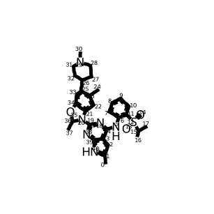 Cc1cc2c(Nc3ccccc3S(=O)(=O)C(C)C)nc(N3c4cc(C)c(C5CCN(C)CC5)cc4OC3C)nc2[nH]1